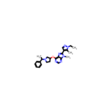 CCn1ncc(-c2nc3c(OC4CCN(C(C)c5ccccc5)C4)ncnc3n2C)c1C